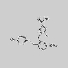 COc1ccc(CCc2ccc(Cl)cc2)c(Cn2nc(C(=O)N=O)cc2C)c1